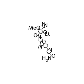 CCOc1cc(C(=O)N2CCC3(CC2)CC(=O)c2cc(-c4ccc(C(N)=O)cn4)ccc2O3)cc(OC)c1-c1cnn(C)c1